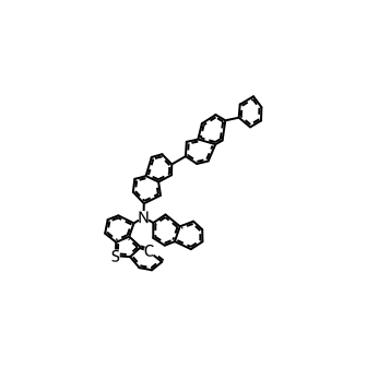 c1ccc(-c2ccc3cc(-c4ccc5ccc(N(c6ccc7ccccc7c6)c6cccc7sc8ccccc8c67)cc5c4)ccc3c2)cc1